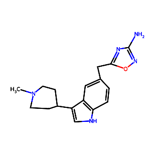 CN1CCC(c2c[nH]c3ccc(Cc4nc(N)no4)cc23)CC1